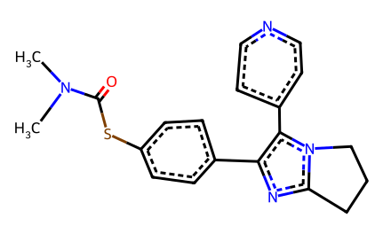 CN(C)C(=O)Sc1ccc(-c2nc3n(c2-c2ccncc2)CCC3)cc1